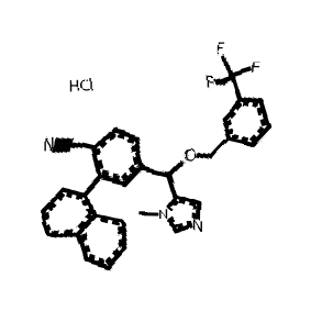 Cl.Cn1cncc1C(OCc1cccc(C(F)(F)F)c1)c1ccc(C#N)c(-c2cccc3ccccc23)c1